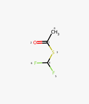 CC(=O)SC(F)F